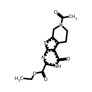 CCOC(=O)c1nc2sc3c(c2c(=O)[nH]1)CCN(C(C)=O)C3